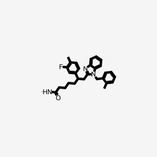 Cc1ccc(C(CCCCC([NH])=O)Cc2nc3ccccc3n2Cc2ccccc2C)cc1F